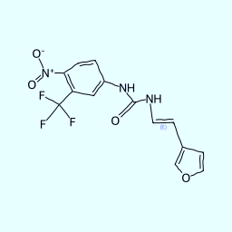 O=C(N/C=C/c1ccoc1)Nc1ccc([N+](=O)[O-])c(C(F)(F)F)c1